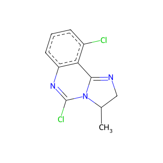 CC1CN=C2c3c(Cl)cccc3N=C(Cl)N21